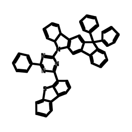 C1=CC2c3cc4c(cc3N(c3nc(-c5ccccc5)nc(-c5cccc6c5sc5ccccc56)n3)C2C=C1)-c1ccccc1C4(c1ccccc1)c1ccccc1